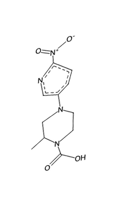 CC1CN(c2ccc([N+](=O)[O-])nc2)CCN1C(=O)O